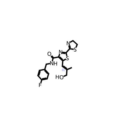 C/C(=C\c1sc(C2=NCCS2)nc1C(=O)NCc1ccc(F)cc1)CO